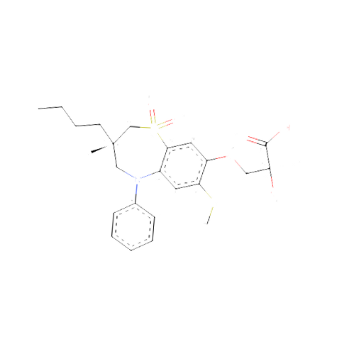 CCCC[C@@]1(C)CN(c2ccccc2)c2cc(SC)c(OC[C@](C)(O)C(=O)O)cc2S(=O)(=O)C1